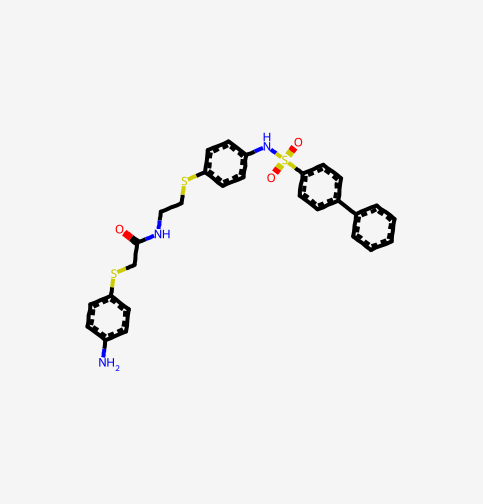 Nc1ccc(SCC(=O)NCCSc2ccc(NS(=O)(=O)c3ccc(-c4ccccc4)cc3)cc2)cc1